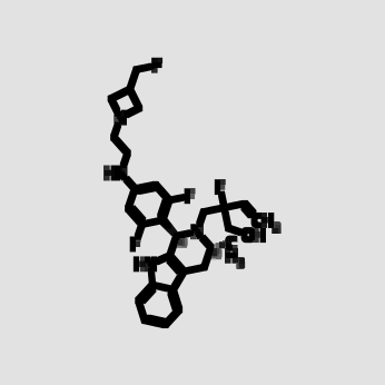 C=CC(F)(CO)CN1[C@H](c2c(F)cc(NCCN3CC(CF)C3)cc2F)c2[nH]c3ccccc3c2C[C@H]1C